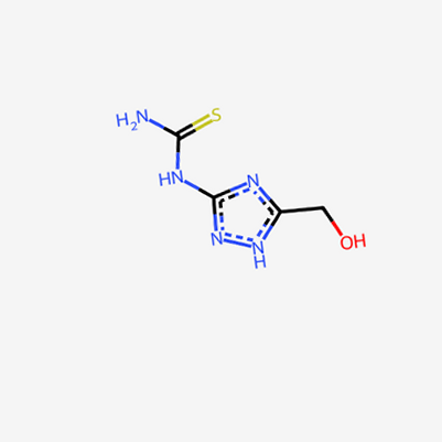 NC(=S)Nc1n[nH]c(CO)n1